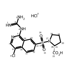 Cl.N=C(N)Nc1ncc(Cl)c2ccc(S(=O)(=O)N3CCC[C@@H]3C(=O)O)cc12